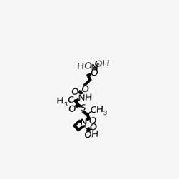 CC(NC(=O)OCCCON(O)O)C(=O)SC[C@@H](C)C(=O)N1CCC[C@H]1C(=O)O